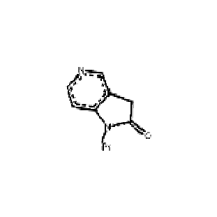 CC(C)N1C(=O)Cc2cnccc21